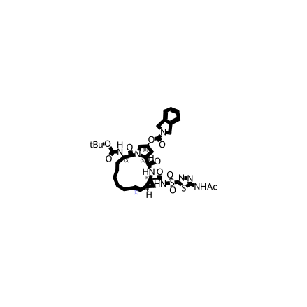 CC(=O)Nc1nnc(S(=O)(=O)NC(=O)[C@@]23C[C@H]2/C=C/CCCCC[C@H](NC(=O)OC(C)(C)C)C(=O)N2C[C@H](OC(=O)N4Cc5ccccc5C4)C[C@H]2C(=O)N3)s1